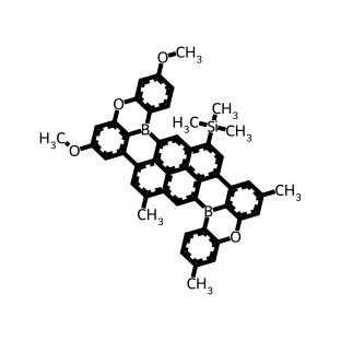 COc1ccc2c(c1)Oc1cc(OC)cc3c1B2c1cc2c([Si](C)(C)C)cc4c5c(cc6c(C)cc-3c1c6c25)B1c2ccc(C)cc2Oc2cc(C)cc-4c21